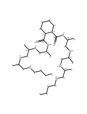 CCCCOCC(C)OCC(C)OCC(C)OC(=O)C1CCCCC1C(=O)OC(C)COC(C)COC(C)COCCCC